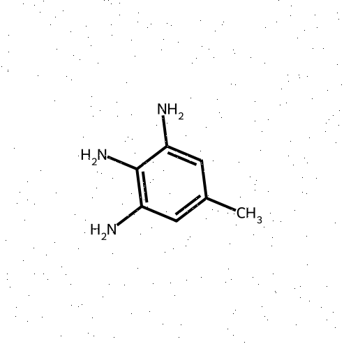 Cc1cc(N)c(N)c(N)c1